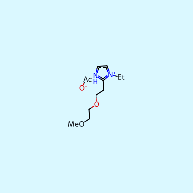 CC(=O)[O-].CC[n+]1cc[nH]c1CCOCCOC